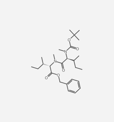 CCC(C)[C@@H](C(=O)N(C)[C@H](C(=O)OCc1ccccc1)C(C)CC)N(C)C(=O)OC(C)(C)C